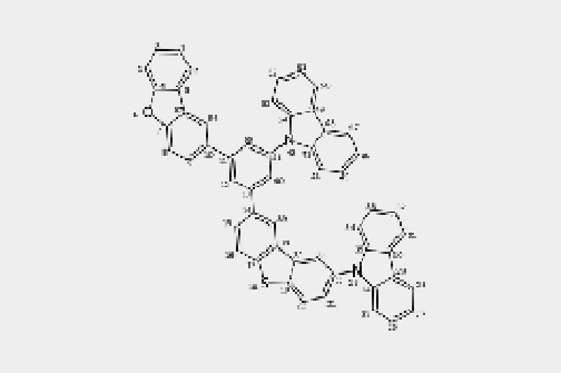 c1ccc2c(c1)oc1ccc(-c3cc(-c4ccc5sc6ccc(-n7c8ccccc8c8ccccc87)cc6c5c4)cc(-n4c5ccccc5c5ccccc54)c3)cc12